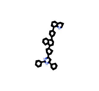 c1ccc(-c2cc(-c3ccc(-c4ccc(-c5ccc(-c6cccc7cccnc67)cc5)c5ccccc45)cc3)nc(-c3ccccc3)n2)cc1